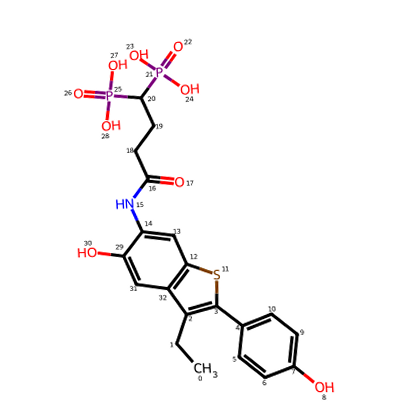 CCc1c(-c2ccc(O)cc2)sc2cc(NC(=O)CCC(P(=O)(O)O)P(=O)(O)O)c(O)cc12